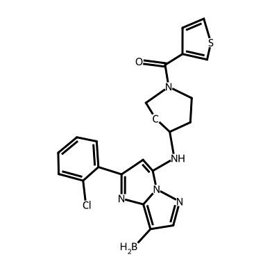 Bc1cnn2c(NC3CCN(C(=O)c4ccsc4)CC3)cc(-c3ccccc3Cl)nc12